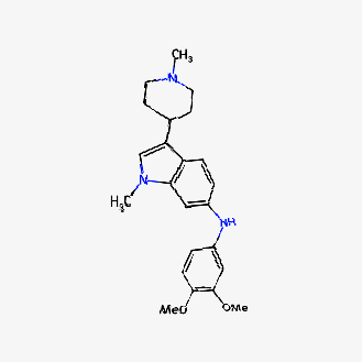 COc1ccc(Nc2ccc3c(C4CCN(C)CC4)cn(C)c3c2)cc1OC